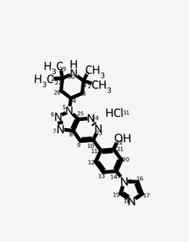 CC1(C)CC(n2nnc3cc(-c4ccc(-n5ccnc5)cc4O)nnc32)CC(C)(C)N1.Cl